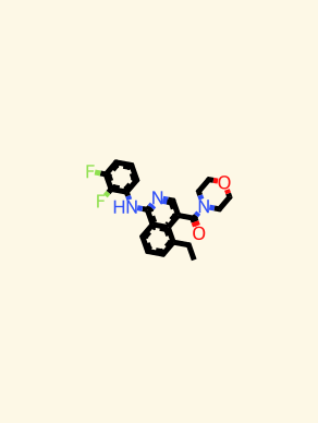 CCc1cccc2c(Nc3cccc(F)c3F)ncc(C(=O)N3CCOCC3)c12